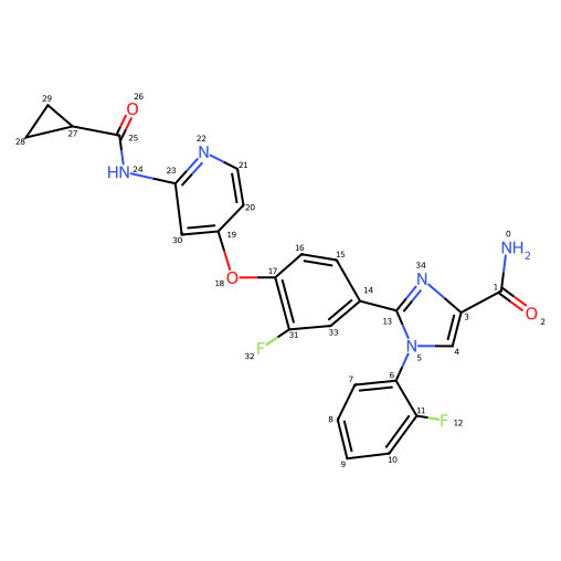 NC(=O)c1cn(-c2ccccc2F)c(-c2ccc(Oc3ccnc(NC(=O)C4CC4)c3)c(F)c2)n1